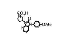 COc1ccc(-n2c(=O)n(C3CCN(C(=O)O)C3)c3ncccc32)cc1